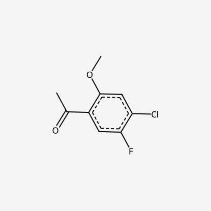 COc1cc(Cl)c(F)cc1C(C)=O